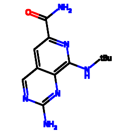 CC(C)(C)Nc1nc(C(N)=O)cc2cnc(N)nc12